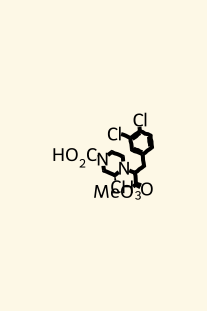 COC(=O)C(Cc1ccc(Cl)c(Cl)c1)N1CCN(C(=O)O)C[C@H]1C